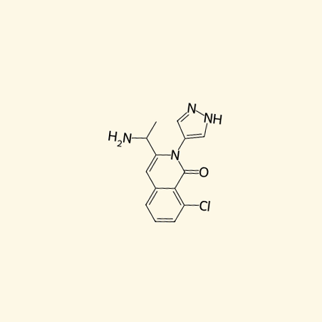 CC(N)c1cc2cccc(Cl)c2c(=O)n1-c1cn[nH]c1